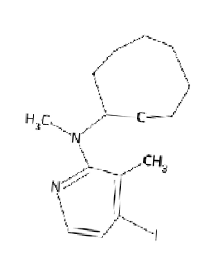 Cc1c(I)ccnc1N(C)C1CCCCCCC1